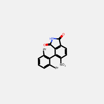 CC(C)c1cccc(C(C)C)c1-c1c([N+](=O)[O-])ccc2c1C(=O)NC2=O